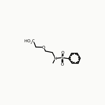 CN(CCOCC(=O)O)S(=O)(=O)c1ccccc1